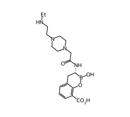 CCNCCN1CCN(CC(=O)N[C@H]2Cc3cccc(C(=O)O)c3OB2O)CC1